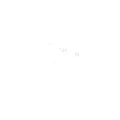 O=C(NCC1(C(=O)N2CCCC2)CCC1)c1cc2c(s1)CCCCCCC2